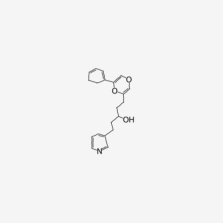 OC(CCC1=COC=C(C2=CC=CCC2)O1)CCc1cccnc1